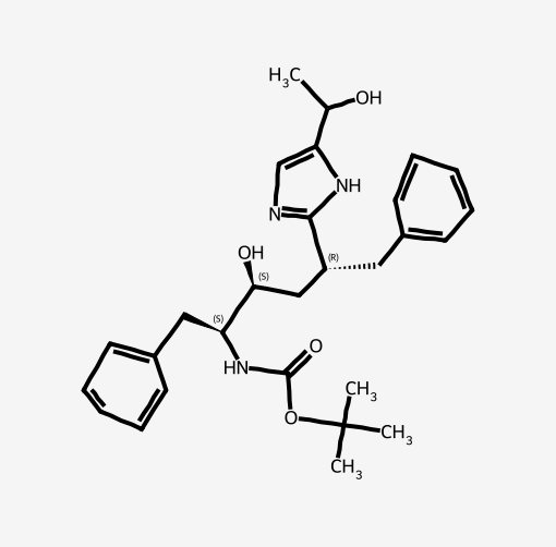 CC(O)c1cnc([C@H](Cc2ccccc2)C[C@H](O)[C@H](Cc2ccccc2)NC(=O)OC(C)(C)C)[nH]1